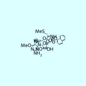 COc1nc(N)nc2c1ncn2C1O[C@H](COP(=O)(N[C@@H](CCSC)C(=O)OCC(C)(C)C)Oc2cccc3ccccc23)[C@@H](O)[C@@]1(C)O